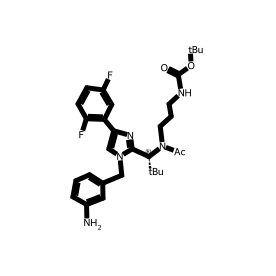 CC(=O)N(CCCNC(=O)OC(C)(C)C)[C@@H](c1nc(-c2cc(F)ccc2F)cn1Cc1cccc(N)c1)C(C)(C)C